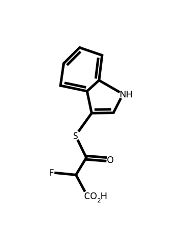 O=C(O)C(F)C(=O)Sc1c[nH]c2ccccc12